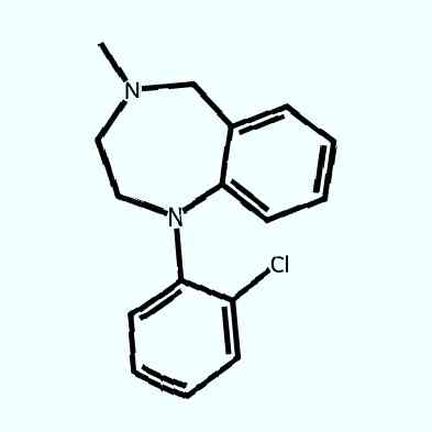 CN1CCN(c2ccccc2Cl)c2ccccc2C1